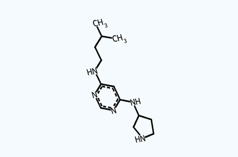 CC(C)CCNc1cc(NC2CCNC2)ncn1